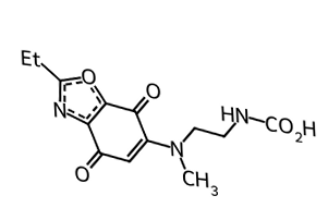 CCc1nc2c(o1)C(=O)C(N(C)CCNC(=O)O)=CC2=O